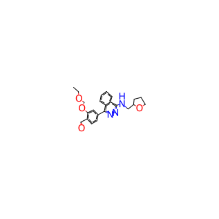 CCOCOc1cc(-c2nnc(NCC3CCCO3)c3ccccc23)ccc1C=O